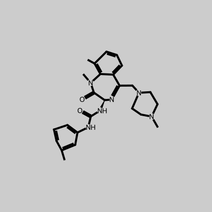 Cc1cccc(NC(=O)N[C@@H]2N=C(CN3CCN(C)CC3)c3cccc(C)c3N(C)C2=O)c1